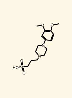 COc1ccc(N2CCN(CCCS(=O)(=O)O)CC2)cc1OC